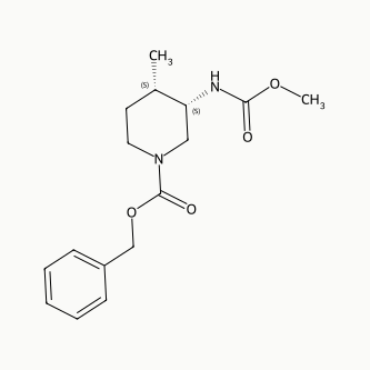 COC(=O)N[C@@H]1CN(C(=O)OCc2ccccc2)CC[C@@H]1C